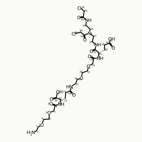 NCCOCCOCC(=O)N[C@@H](CCC(=O)NCCOCCOCC(=O)N[C@@H](CCC(=O)O)C(=O)NCCN(CCNC(=O)CCl)C(=O)CCl)C(=O)O